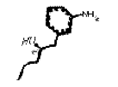 CCC[C@@H](O)Cc1cccc(N)c1